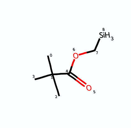 CC(C)(C)C(=O)OC[SiH3]